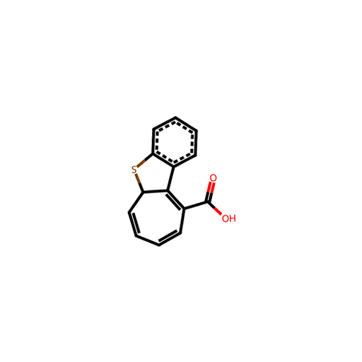 O=C(O)C1=C2c3ccccc3SC2C=CC=C1